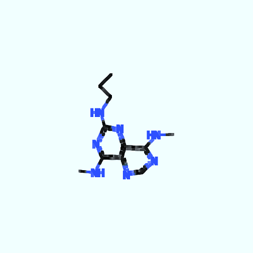 CCCNc1nc(NC)c2ncnc(NC)c2n1